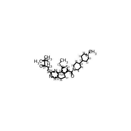 CSc1sc(C(=O)N2CCC(C3CCN(C)CC3)CC2)c2c1-c1nc(SCC(=O)C(C)(C)C)ncc1CC2